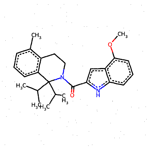 COc1cccc2[nH]c(C(=O)N3CCc4c(C)cccc4C3(C(C)C)C(C)C)cc12